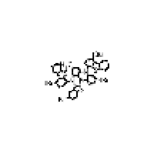 Cc1cc2c3c(c1)N(c1ccc(C(C)(C)C)c4c1sc1ccccc14)c1c(sc4ccc(C(C)(C)C)cc14)B3c1ccc(C(C)(C)C)cc1N2c1ccc(C(C)(C)C)c2c1sc1ccccc12